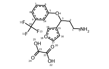 NCCC(Oc1cccc(C(F)(F)F)c1)c1ccoc1.O=C(O)C(=O)O